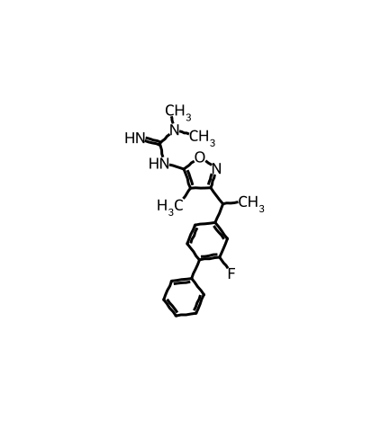 Cc1c(C(C)c2ccc(-c3ccccc3)c(F)c2)noc1NC(=N)N(C)C